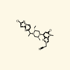 CC[C@@H]1CN(c2cc(=O)n(C)c3cn(CC#N)nc23)[C@@H](C)CN1C(C)c1ccn2nc(Cl)cc2n1